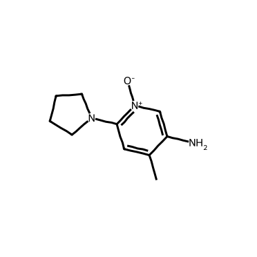 Cc1cc(N2CCCC2)[n+]([O-])cc1N